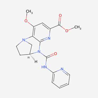 COC(=O)c1cc(OC)c2c(n1)N(C(=O)Nc1ccccn1)[C@H]1CCN2C1